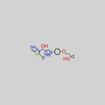 O[C@@H](c1cn(-c2ccc(OCCC3(O)CC3)cc2)nn1)c1c(C2CC2)sc2cncn12